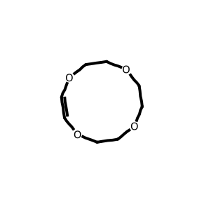 C1=COCCOCCOCCO1